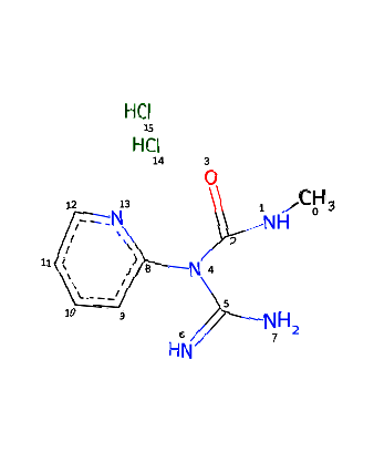 CNC(=O)N(C(=N)N)c1ccccn1.Cl.Cl